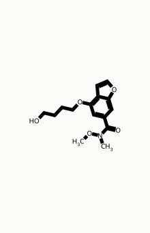 CON(C)C(=O)c1cc(OCCCCO)c2ccoc2c1